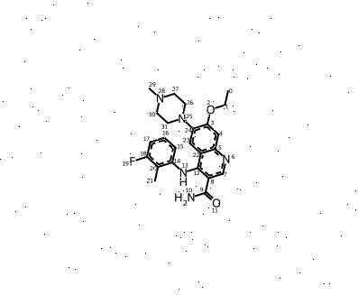 CCOc1cc2ncc(C(N)=O)c(Nc3cccc(F)c3C)c2cc1N1CCN(C)CC1